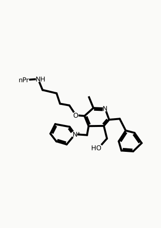 CCCNCCCCOc1c(C)nc(Cc2ccccc2)c(CO)c1C[n+]1ccccc1